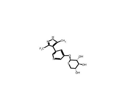 Cc1[nH]nc(C(F)(F)F)c1-c1cncc(O[C@@H]2SC[C@@H](O)[C@H](O)[C@H]2O)c1